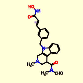 CN1Cc2c(c3ccccc3n2Cc2cccc(/C=C/C(=O)NO)c2)C(C(=O)N(C)C=O)C1